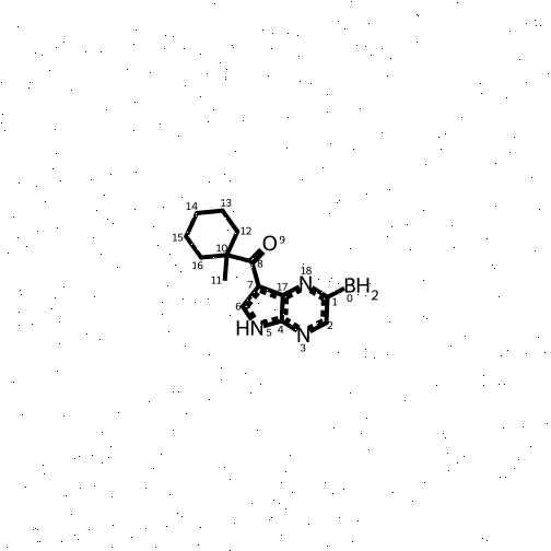 Bc1cnc2[nH]cc(C(=O)C3(C)CCCCC3)c2n1